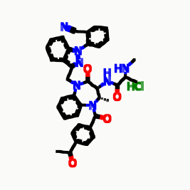 CNC(C)C(=O)N[C@@H]1C(=O)N(Cc2nn(-c3ccccc3C#N)c3ccccc23)c2ccccc2N(C(=O)c2ccc(C(C)=O)cc2)[C@H]1C.Cl